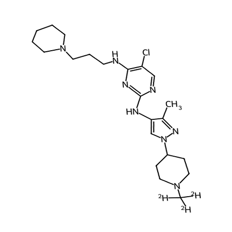 [2H]C([2H])([2H])N1CCC(n2cc(Nc3ncc(Cl)c(NCCCN4CCCCC4)n3)c(C)n2)CC1